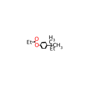 CCC(=O)Oc1ccc(C(C)(C)CC)cc1